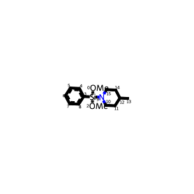 CO[Si](OC)(c1ccccc1)N1CCC(C)CC1